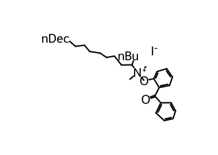 CCCCCCCCCCCCCCCCCC(CCCC)[N+](C)(C)Oc1ccccc1C(=O)c1ccccc1.[I-]